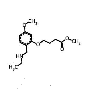 CCNCc1ccc(OC)cc1OCCCC(=O)OC